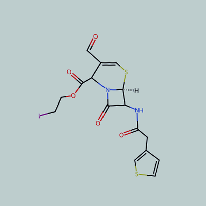 O=CC1=CS[C@H]2C(NC(=O)Cc3ccsc3)C(=O)N2C1C(=O)OCCI